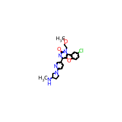 CNC1CCN(c2ccc(-c3nc(=O)n(CCOC)c4c3oc3ccc(Cl)cc34)cn2)C1